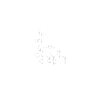 COc1nc(-c2cccc(-c3cccc(-c4ccc5[nH]c(CNCC6CCC(=O)N6)c(Cl)c5n4)c3Cl)c2Cl)ccc1CNCC1CCC(=O)N1